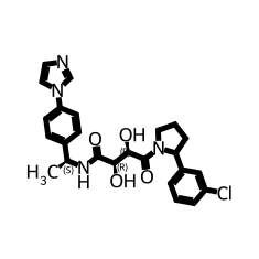 C[C@H](NC(=O)[C@H](O)[C@@H](O)C(=O)N1CCCC1c1cccc(Cl)c1)c1ccc(-n2ccnc2)cc1